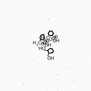 Cc1ccccc1S(=O)(=O)O.Cc1ccccc1S(=O)(=O)O.OCc1ccccc1CO